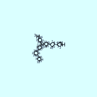 [3H]c1ccc(-c2ccc(-c3ccc(N(c4ccc([3H])cc4)c4ccc(-c5cccc(-c6ccccc6)c5)cc4)cc3)cc2)cc1